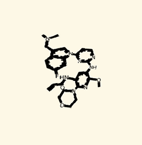 C=CC(=O)Nc1cc(Nc2nccc(-n3cc(CN(C)C)c4ccc(F)cc43)n2)c(OC)nc1N1CCOCC1